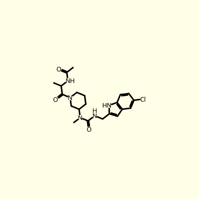 CC(=O)NC(C)C(=O)N1CCCC(N(C)C(=O)NCc2cc3cc(Cl)ccc3[nH]2)C1